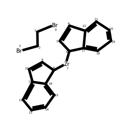 BrCCBr.C1=C[CH]([Zr][CH]2C=Cc3ccccc32)c2ccccc21